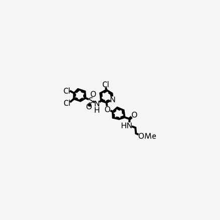 COCCNC(=O)c1ccc(Oc2ncc(Cl)cc2NS(=O)(=O)c2ccc(Cl)c(Cl)c2)cc1